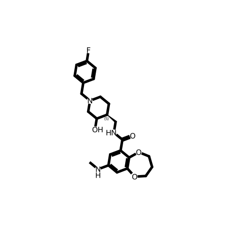 CNc1cc2c(c(C(=O)NC[C@@H]3CCN(Cc4ccc(F)cc4)CC3O)c1)OCCCO2